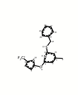 Cc1cc(Oc2ccc(C(F)(F)F)s2)nc(SCc2ccccc2)c1